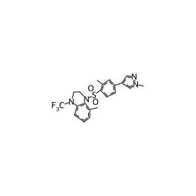 Cc1cc(-c2cnn(C)c2)ccc1S(=O)(=O)N1CCN(C(F)(F)F)c2cccc(C)c21